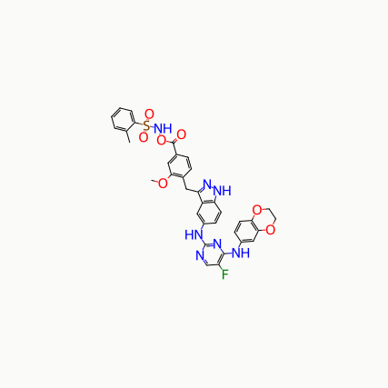 COc1cc(C(=O)ONS(=O)(=O)c2ccccc2C)ccc1Cc1n[nH]c2ccc(Nc3ncc(F)c(Nc4ccc5c(c4)OCCO5)n3)cc12